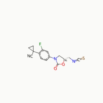 N#CC1(c2ccc(N3C[C@H](CN=C=S)OC3=O)cc2F)CC1